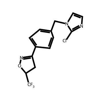 FC(F)(F)C1CC(c2ccc(Cn3ccnc3Cl)cc2)=NO1